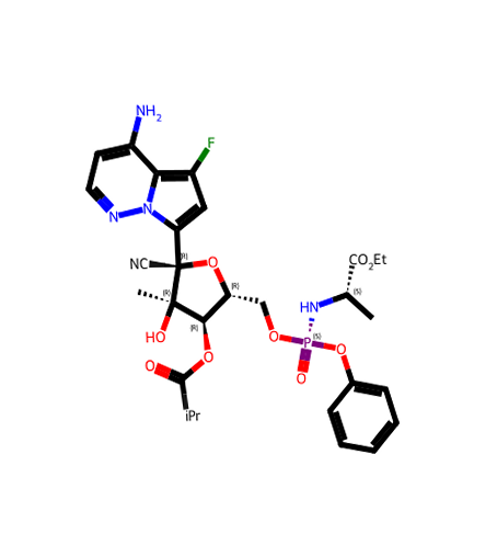 CCOC(=O)[C@H](C)N[P@](=O)(OC[C@H]1O[C@@](C#N)(c2cc(F)c3c(N)ccnn23)[C@](C)(O)[C@@H]1OC(=O)C(C)C)Oc1ccccc1